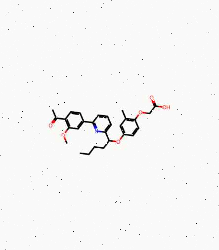 CCCCC(Oc1ccc(OCC(=O)O)c(C)c1)c1cccc(-c2ccc(C(C)=O)c(OC)c2)n1